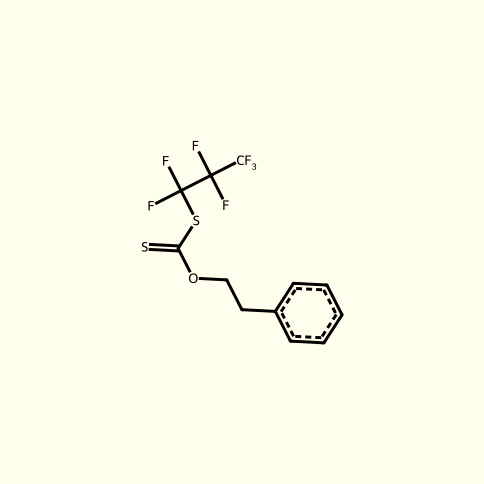 FC(F)(F)C(F)(F)C(F)(F)SC(=S)OCCc1ccccc1